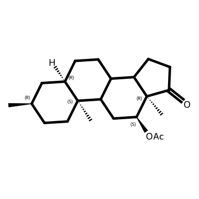 CC(=O)O[C@H]1CC2C(CC[C@@H]3C[C@H](C)CC[C@]23C)C2CCC(=O)[C@]21C